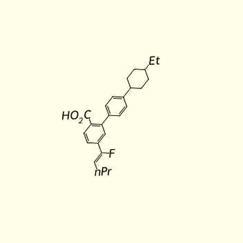 CCCC=C(F)c1ccc(C(=O)O)c(-c2ccc(C3CCC(CC)CC3)cc2)c1